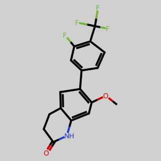 COc1cc2c(cc1-c1ccc(C(F)(F)F)c(F)c1)CCC(=O)N2